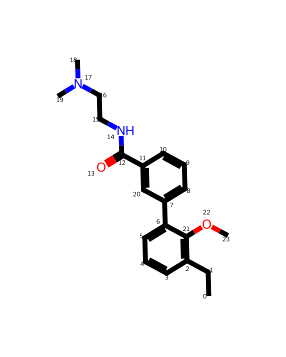 CCc1cccc(-c2cccc(C(=O)NCCN(C)C)c2)c1OC